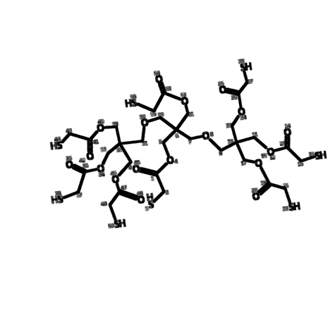 O=C(CS)OCC(COCC(COC(=O)CS)(COC(=O)CS)COC(=O)CS)(COCC(COC(=O)CS)(COC(=O)CS)COC(=O)CS)COC(=O)CS